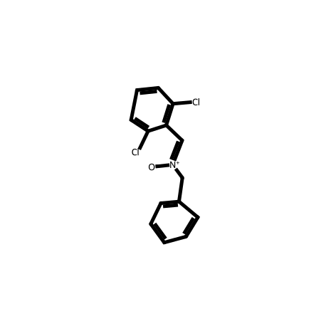 [O-][N+](=Cc1c(Cl)cccc1Cl)Cc1ccccc1